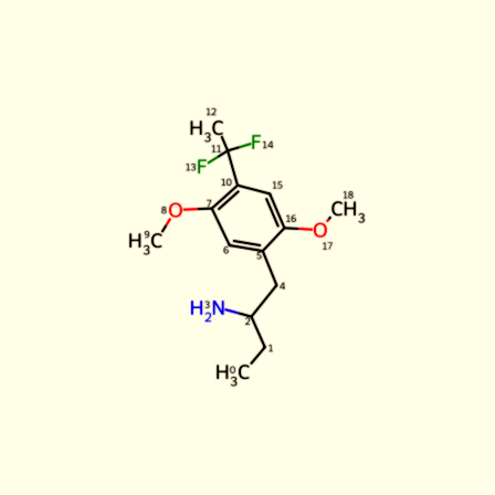 CCC(N)Cc1cc(OC)c(C(C)(F)F)cc1OC